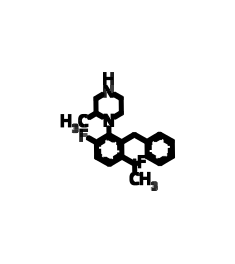 C[C](F)c1ccc(F)c(N2CCNCC2C)c1Cc1ccccc1